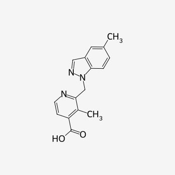 Cc1ccc2c(cnn2Cc2nccc(C(=O)O)c2C)c1